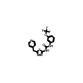 O=C(Nc1cccc(OC(F)(F)F)c1)Nc1nnc(Cc2ccncc2)s1